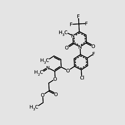 C=N/C(OCC(=O)OCC)=C(\C=C/C)Oc1cc(-n2c(=O)cc(C(F)(F)F)n(C)c2=O)c(F)cc1Cl